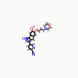 COc1cc2c(cc1OCCCN1CCOCC1)Cc1c(-c3ccc(C#N)nc3)n[nH]c1-2